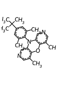 Cc1cncc2c1Oc1c(C)cncc1N2c1c(C)cc(C(C)(C)C)cc1C